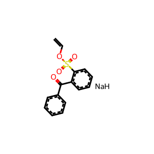 C=COS(=O)(=O)c1ccccc1C(=O)c1ccccc1.[NaH]